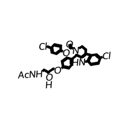 CC(=O)NCC(O)COc1ccc(C2c3[nH]c4ccc(Cl)cc4c3CCN2C(=O)Oc2ccc(Cl)cc2)cc1